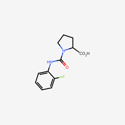 O=C(O)C1CCCN1C(=O)Nc1ccccc1F